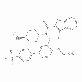 CCOc1ccc(-c2ccc(C(F)(F)F)cc2)cc1CN(C(=O)c1sc2ccccc2c1I)[C@H]1CC[C@H](NC)CC1